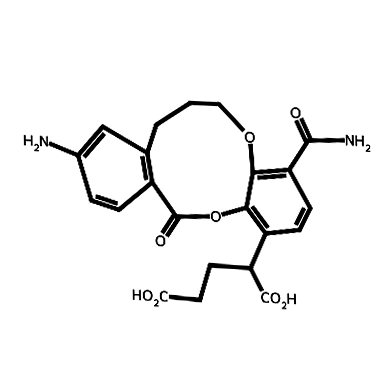 NC(=O)c1ccc(C(CCC(=O)O)C(=O)O)c2c1OCCCc1cc(N)ccc1C(=O)O2